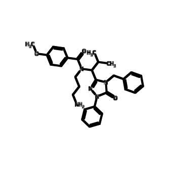 COc1ccc(C(=O)N(CCCN)C(c2nn(-c3ccccc3)c(=O)n2Cc2ccccc2)C(C)C)cc1